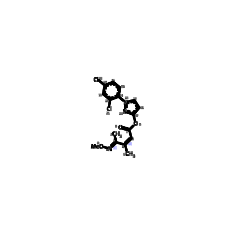 CO/N=C(C)/C(C)=C\C(=O)Oc1ccn(-c2ccc(Cl)cc2Cl)n1